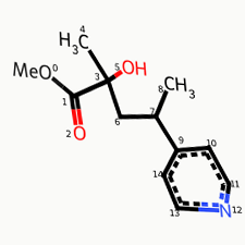 COC(=O)C(C)(O)CC(C)c1ccncc1